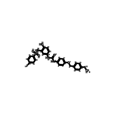 O=C(Nc1ccc(OCc2ccc(SC(F)(F)F)cc2)cc1)Nc1ccc(O)c(NS(=O)(=O)c2ccc(F)cc2)c1